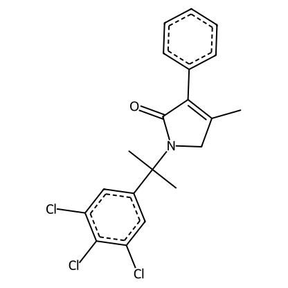 CC1=C(c2ccccc2)C(=O)N(C(C)(C)c2cc(Cl)c(Cl)c(Cl)c2)C1